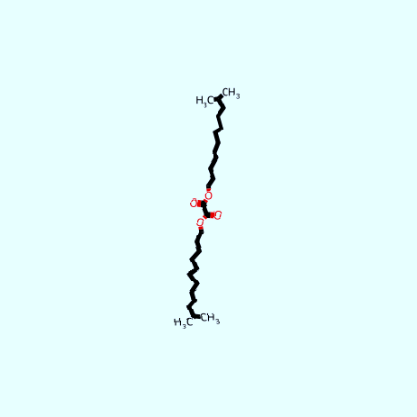 CC(C)CCCCCCCCCCOC(=O)C(=O)OCCCCCCCCCCC(C)C